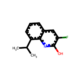 CC(C)c1cccc2cc(F)c(O)nc12